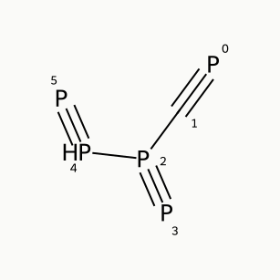 P#CP(#P)[PH]#P